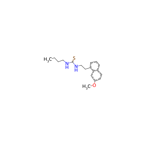 CCCCNC(=S)NCCc1cccc2ccc(OC)cc12